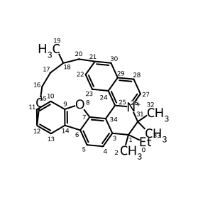 CCC1(C)c2ccc3c4oc5ccc(cc53)CCCC(C)Cc3ccc5c([n+](ccc5c3)C1(C)C)-c24